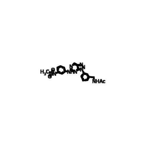 CC(=O)NCc1cccc(-n2nnc3cnc(Nc4cccc(NS(C)(=O)=O)c4)nc32)c1